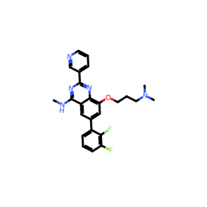 CNc1nc(-c2cccnc2)nc2c(OCCCN(C)C)cc(-c3cccc(F)c3F)cc12